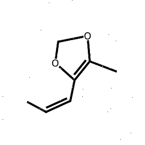 C/C=C\C1=C(C)OCO1